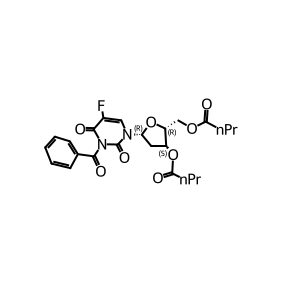 CCCC(=O)OC[C@H]1O[C@@H](n2cc(F)c(=O)n(C(=O)c3ccccc3)c2=O)C[C@@H]1OC(=O)CCC